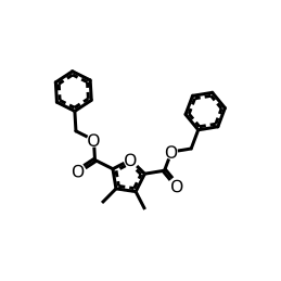 Cc1c(C(=O)OCc2ccccc2)oc(C(=O)OCc2ccccc2)c1C